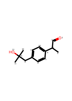 CC(C=O)c1ccc(CC(C)(C)O)cc1